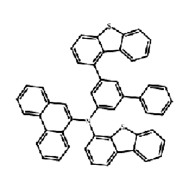 c1ccc(-c2cc(-c3cccc4sc5ccccc5c34)cc(N(c3cc4ccccc4c4ccccc34)c3cccc4c3sc3ccccc34)c2)cc1